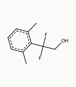 Cc1cccc(C)c1C(F)(F)CO